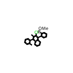 COB(Cl)c1ccccc1-c1c(C)c(C)c(-c2ccccc2C)c2ccccc12